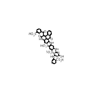 O=C(O)c1ccccc1Nc1nc(O)nc(Nc2cc(Nc3ccc4[nH]c(=O)c(C(=O)c5cccc(S(=O)(=O)O)c5)c5c4c3C(=O)c3ccccc3-5)c(S(=O)(=O)O)cc2S(=O)(=O)O)n1